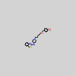 COc1ccc(COCCCCCN2CCC(N(C)C3=Nc4ccccc4CS3)CC2)cc1